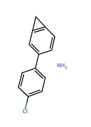 Clc1ccc(-c2ccc3c(c2)C3)cc1.N